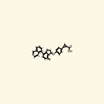 O=C(O)C1CC1c1ccc(O[C@@H]2CCc3c(-c4cccc5cnccc45)ccc(F)c32)cc1